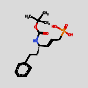 CC(C)(C)OC(=O)N[C@H](C=CCP(=O)(O)O)CCc1ccccc1